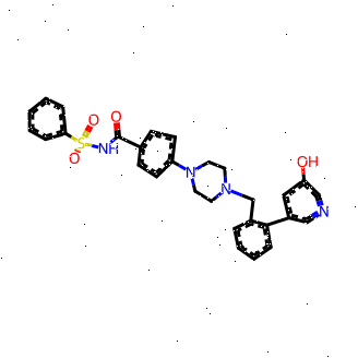 O=C(NS(=O)(=O)c1ccccc1)c1ccc(N2CCN(Cc3ccccc3-c3cncc(O)c3)CC2)cc1